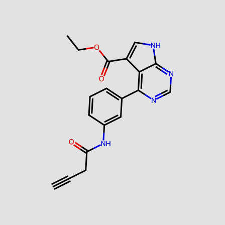 C#CCC(=O)Nc1cccc(-c2ncnc3[nH]cc(C(=O)OCC)c23)c1